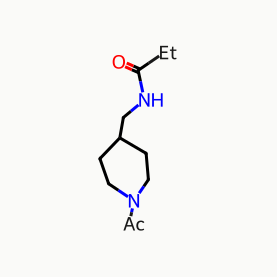 CCC(=O)NCC1CCN(C(C)=O)CC1